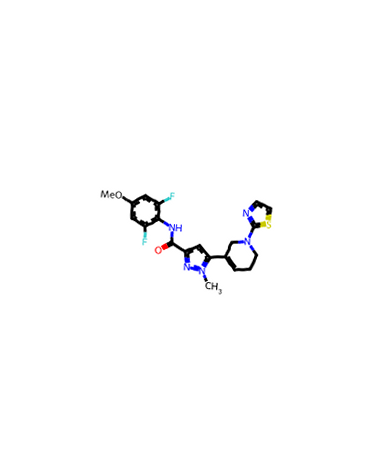 COc1cc(F)c(NC(=O)c2cc(C3=CCCN(c4nccs4)C3)n(C)n2)c(F)c1